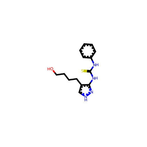 OCCCCc1c[nH]nc1NC(=S)Nc1ccccc1